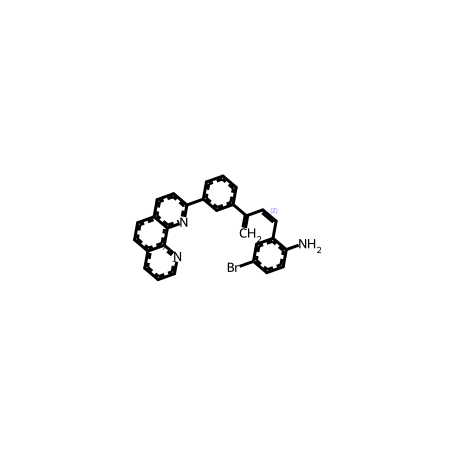 C=C(/C=C\c1cc(Br)ccc1N)c1cccc(-c2ccc3ccc4cccnc4c3n2)c1